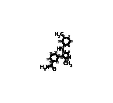 Cc1cccc(Nn2cnc(C)c2-c2cccc(C(N)=O)c2)c1